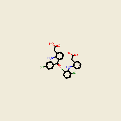 Nc1c(CC(=O)O)cccc1C(=O)c1ccc(Br)cc1.O=C(O)Cc1ccccc1Nc1c(Cl)cccc1Cl